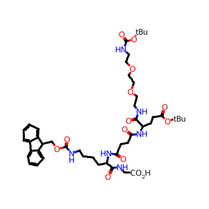 CC(C)(C)OC(=O)CCC(NC(=O)CCC(=O)NC(CCCCNC(=O)OCC1c2ccccc2-c2ccccc21)C(=O)NCC(=O)O)C(=O)NCCOCCOCCNC(=O)OC(C)(C)C